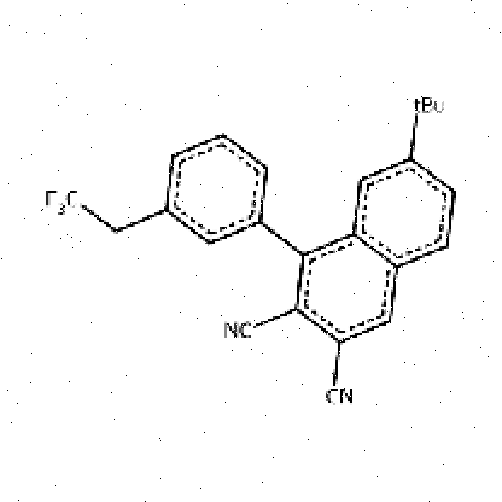 CC(C)(C)c1ccc2cc(C#N)c(C#N)c(-c3cccc(CC(F)(F)F)c3)c2c1